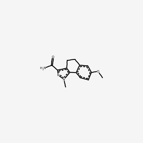 COc1ccc2c(c1)CCc1c(C(N)=O)nn(C)c1-2